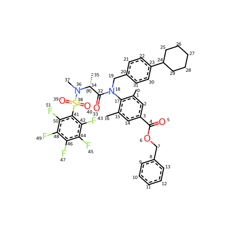 Cc1cc(C(=O)OCc2ccccc2)cc(C)c1N(Cc1ccc(C2CCCCC2)cc1)C(=O)[C@@H](C)N(C)S(=O)(=O)c1c(F)c(F)c(F)c(F)c1F